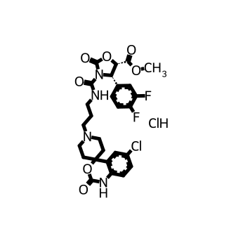 COC(=O)[C@H]1OC(=O)N(C(=O)NCCCN2CCC3(CC2)OC(=O)Nc2ccc(Cl)cc23)[C@H]1c1ccc(F)c(F)c1.Cl